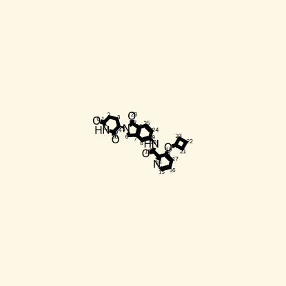 O=C1CC[C@@H](N2Cc3cc(NC(=O)c4ncccc4OC4CCC4)ccc3C2=O)C(=O)N1